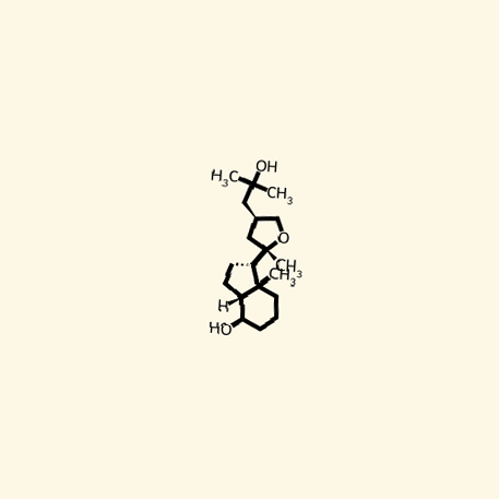 CC(C)(O)C[C@H]1CO[C@](C)([C@H]2CC[C@H]3C(O)CCCC32C)C1